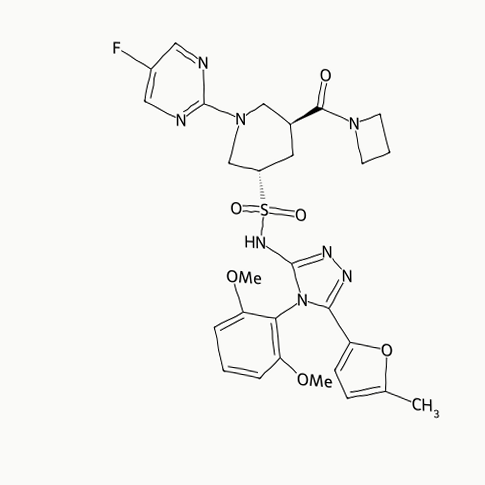 COc1cccc(OC)c1-n1c(NS(=O)(=O)[C@H]2C[C@H](C(=O)N3CCC3)CN(c3ncc(F)cn3)C2)nnc1-c1ccc(C)o1